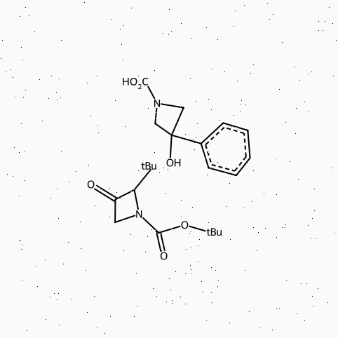 CC(C)(C)OC(=O)N1CC(=O)C1C(C)(C)C.O=C(O)N1CC(O)(c2ccccc2)C1